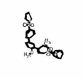 CCOC(=O)N1C2CCC1CC(N1CCC(c3cc(-c4ccc(S(=O)(=O)N5CCCC5)cc4)ccc3OC)CC1)C2